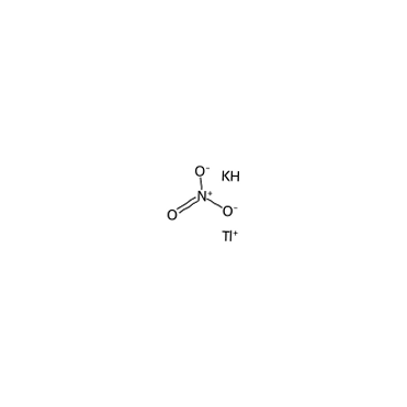 O=[N+]([O-])[O-].[KH].[Tl+]